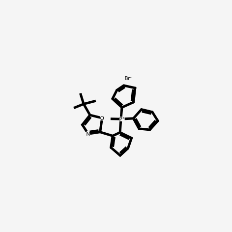 CC(C)(C)c1cnc(-c2ccccc2[P+](C)(c2ccccc2)c2ccccc2)o1.[Br-]